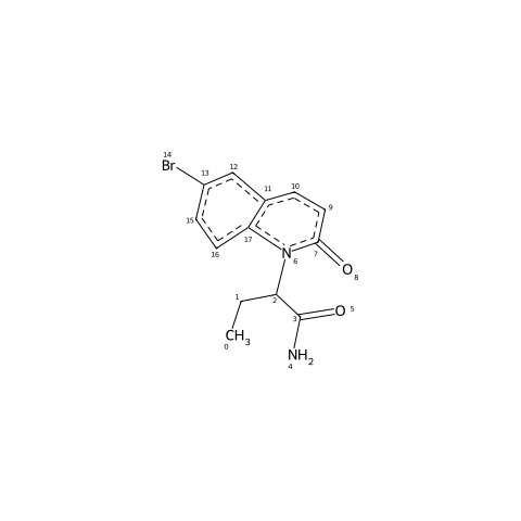 CCC(C(N)=O)n1c(=O)ccc2cc(Br)ccc21